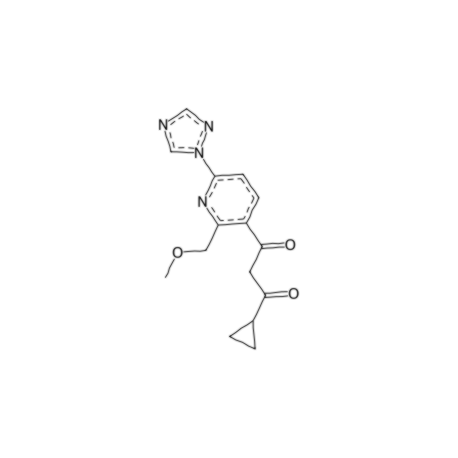 COCc1nc(-n2cncn2)ccc1C(=O)CC(=O)C1CC1